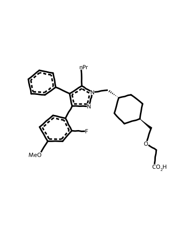 CCCc1c(-c2ccccc2)c(-c2ccc(OC)cc2F)nn1C[C@H]1CC[C@H](COCC(=O)O)CC1